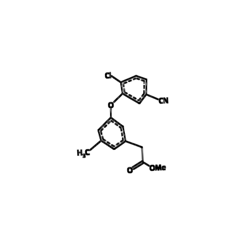 COC(=O)Cc1cc(C)cc(Oc2cc(C#N)ccc2Cl)c1